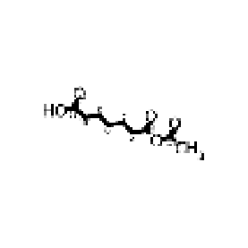 CC(=O)OC(=O)CCCCCC(=O)O